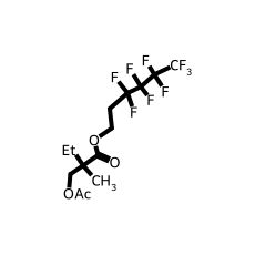 CCC(C)(COC(C)=O)C(=O)OCCC(F)(F)C(F)(F)C(F)(F)C(F)(F)F